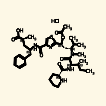 CC[C@H](C)[C@H](NC(=O)[C@H]1CCCCN1)C(=O)N(C)[C@H](C[C@@H](OC(C)=O)c1nc(C(=O)N[C@@H](Cc2ccccc2)C[C@H](C)C(=O)O)cs1)C(C)C.Cl